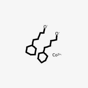 [Co+2].[O-]CCCCC1CCCCC1.[O-]CCCCC1CCCCC1